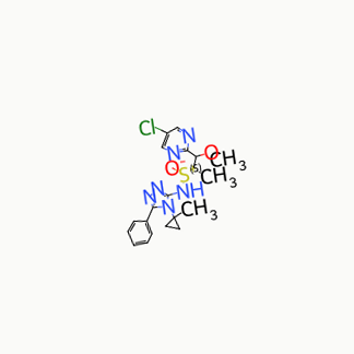 COC(c1ncc(Cl)cn1)[C@H](C)[S+]([O-])Nc1nnc(-c2ccccc2)n1C1(C)CC1